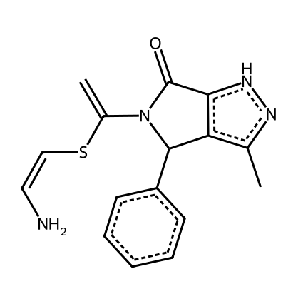 C=C(S/C=C\N)N1C(=O)c2[nH]nc(C)c2C1c1ccccc1